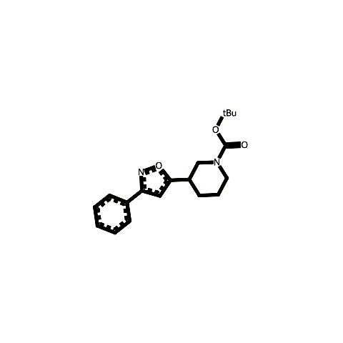 CC(C)(C)OC(=O)N1CCCC(c2cc(-c3ccccc3)no2)C1